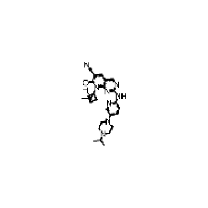 CC(C)N1CCN(c2ccc(Nc3ncc4cc(C#N)c(=O)n(C56CC(C5)[C@@H]6C)c4n3)nc2)CC1